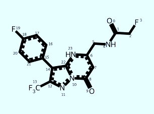 O=C(CF)NCc1cc(=O)n2nc(C(F)(F)F)c(-c3ccc(F)cc3)c2[nH]1